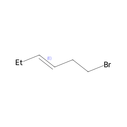 CC/C=C/CCBr